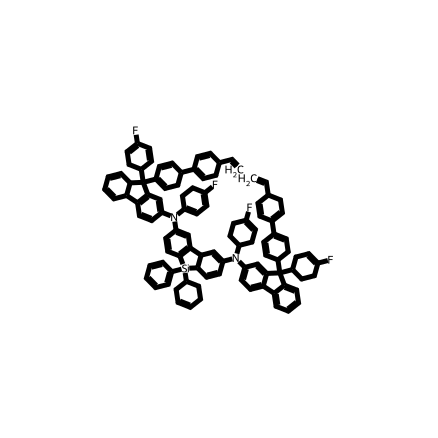 C=CC1C=CC(C2=CCC(C3(C4CC=C(F)CC4)c4ccccc4-c4ccc(N(C5=CC6c7cc(N(C8=CC=C(F)CC8)c8ccc9c(c8)C(C8=CCC(C%10=CCC(C=C)C=C%10)C=C8)(C8C=CC(F)=CC8)C8C=CC=CC98)ccc7[Si](c7ccccc7)(C7CC=CCC7)C6C=C5)C5CC=C(F)CC5)cc43)C=C2)=CC1